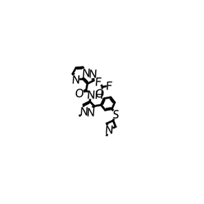 CN1CC(Sc2ccc(OC(F)F)c(-c3nn(C)cc3NC(=O)c3cnn4cccnc34)c2)C1